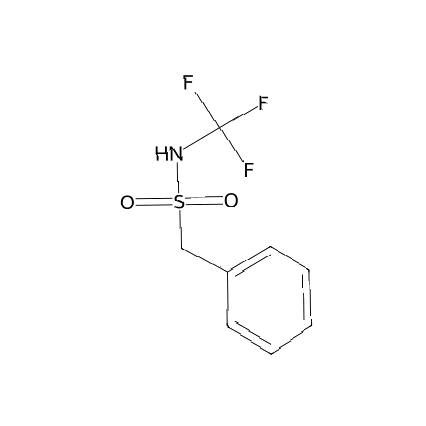 O=S(=O)(Cc1ccccc1)NC(F)(F)F